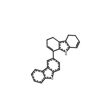 C1=Cc2[nH]c3c(c2CC1)CCC=C3c1ccc2oc3ccccc3c2c1